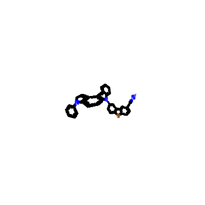 N#Cc1ccc2sc3ccc(-n4c5ccccc5c5c6ccn(-c7ccccc7)c6ccc54)cc3c2c1